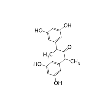 CC(C(=O)C(C)c1cc(O)cc(O)c1)c1cc(O)cc(O)c1